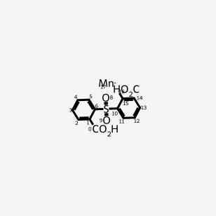 O=C(O)c1ccccc1S(=O)(=O)c1ccccc1C(=O)O.[Mn]